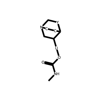 CNC(=O)[O][U][CH]1CN2CC[CH]1[Y][CH2]2